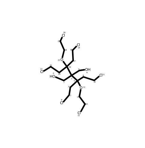 OCC(CO)(C(CCCl)(CCCl)OCCCl)C(CCCl)(CCCl)OCCCl